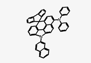 c1ccc(N(c2ccccc2)c2ccc3c4c2ccc2c4c4c(cccc4n2-c2ccc4ccccc4c2)C32c3ccccc3-c3ccccc32)cc1